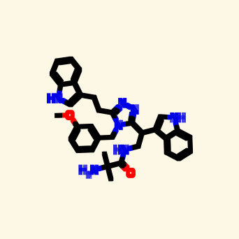 COc1cccc(Cn2c(CCc3c[nH]c4ccccc34)nnc2C(CNC(=O)C(C)(C)N)c2c[nH]c3ccccc23)c1